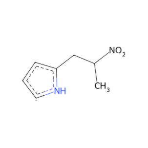 CC(Cc1cc[c][nH]1)[N+](=O)[O-]